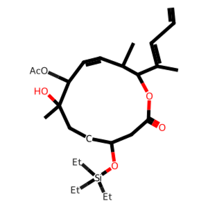 C=CC=C(C)C1OC(=O)CC(O[Si](CC)(CC)CC)CCC(C)(O)C(OC(C)=O)C=CC1C